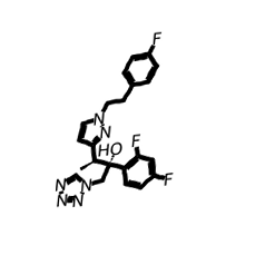 C[C@@H](c1ccn(CCc2ccc(F)cc2)n1)[C@](O)(Cn1cnnn1)c1ccc(F)cc1F